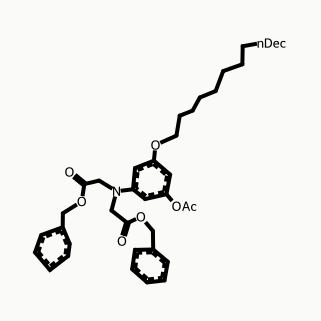 CCCCCCCCCCCCCCCCCCOc1cc(OC(C)=O)cc(N(CC(=O)OCc2ccccc2)CC(=O)OCc2ccccc2)c1